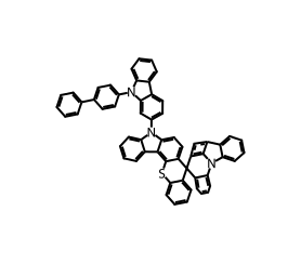 c1ccc(-c2ccc(-n3c4ccccc4c4ccc(-n5c6ccccc6c6c7c(ccc65)C5(c6ccccc6S7)c6ccccc6-n6c7ccccc7c7cccc5c76)cc43)cc2)cc1